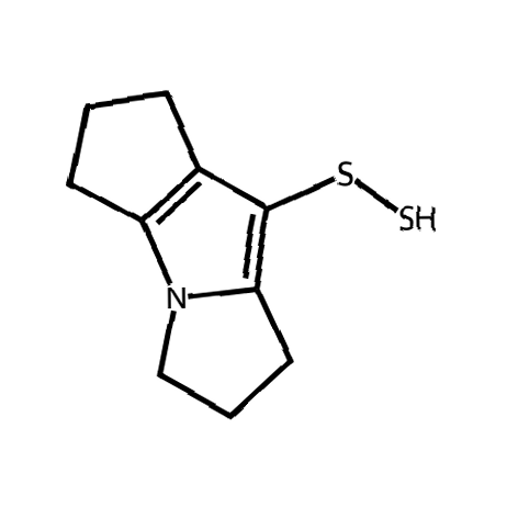 SSc1c2c(n3c1CCC3)CCC2